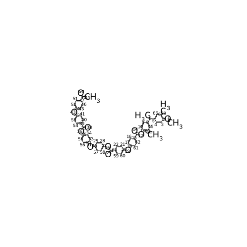 COc1ccc(C(C)c2ccc(OC(=O)c3ccc(Oc4ccc(C(=O)Oc5ccc(Oc6ccc(OC(=O)c7ccc(Oc8ccc(C(C)=O)cc8)cc7)cc6)cc5)cc4)cc3)c(C)c2)cc1C